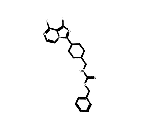 O=C(NCC1CCC(c2nc(I)c3c(Cl)nccn23)CC1)OCc1ccccc1